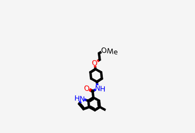 COCCOC1CCC(NC(=O)c2cc(C)cc3cc[nH]c23)CC1